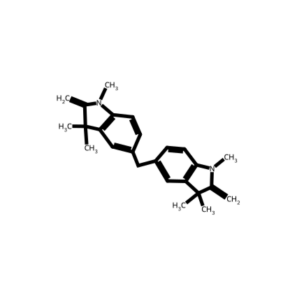 C=C1N(C)c2ccc(Cc3ccc4c(c3)C(C)(C)C(=C)N4C)cc2C1(C)C